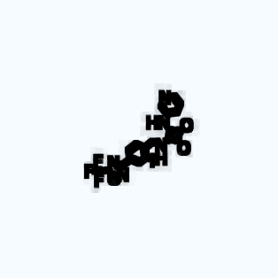 O=c1c(NCc2ccc(-c3noc(C(F)(F)F)n3)cc2F)c(Nc2cccnc2)c1=O